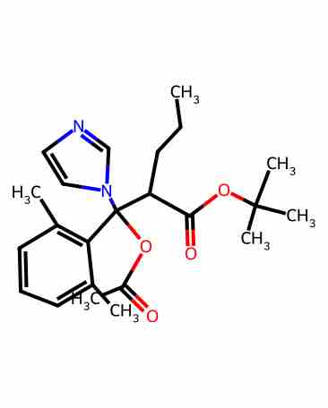 CCCC(C(=O)OC(C)(C)C)C(OC(C)=O)(c1c(C)cccc1C)n1ccnc1